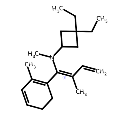 C=C/C(C)=C(/C1=C(C)C=CCC1)N(C)C1CC(CC)(CC)C1